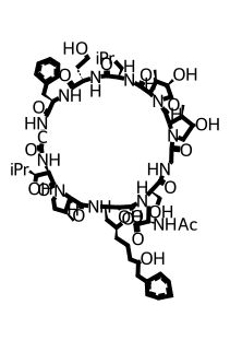 CC(=O)N[C@@H](C)C(=O)O[C@@H](CCCC(O)Cc1ccccc1)C[C@H]1NC(=O)[C@@H]2[C@@H](C)CCN2C(=O)[C@@H]([C@@H](O)C(C)C)NC(=O)CNC(=O)[C@@H](Cc2ccccc2)NC(=O)[C@H](CCO)NC(=O)[C@@H](CC(C)C)NC(=O)[C@@H]2[C@@H](C)[C@@H](O)CN2C(=O)[C@@H]2[C@@H](C)[C@@H](O)CN2C(=O)CNC(=O)[C@@H](CO)NC(=O)[C@H]1O